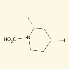 C[C@@H]1CC(I)CCN1C(=O)O